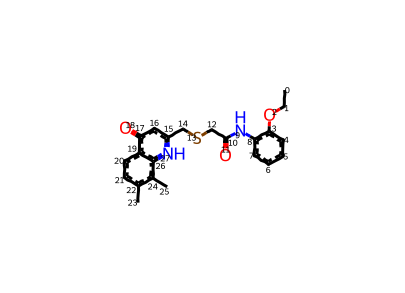 CCOc1ccccc1NC(=O)CSCc1cc(=O)c2ccc(C)c(C)c2[nH]1